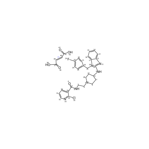 O=C(NCCN1CCC(Nc2nc3ccccc3n2Cc2ccc(F)cc2)CC1)c1cccnc1Cl.O=C(O)/C=C/C(=O)O